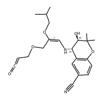 CC(C)CO/C(=C/N[C@H]1c2cc(C#N)ccc2OC(C)(C)[C@@H]1O)COCC=C=O